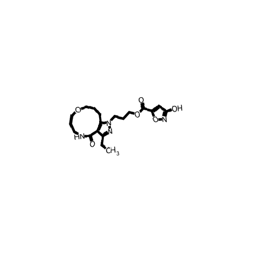 CCc1nn(CCCOC(=O)c2cc(O)no2)c2c1C(=O)NCCCOCCC2